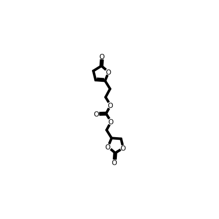 O=C1CC=C(CCOC(=O)OCC2COC(=O)O2)O1